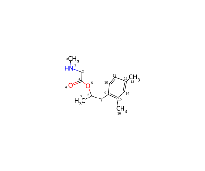 CNCC(=O)OC(C)Cc1ccc(C)cc1C